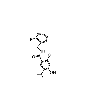 CC(C)c1cc(C(=O)NCc2ccccc2F)c(O)cc1O